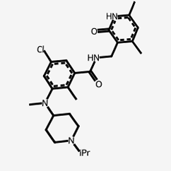 Cc1cc(C)c(CNC(=O)c2cc(Cl)cc(N(C)C3CCN(C(C)C)CC3)c2C)c(=O)[nH]1